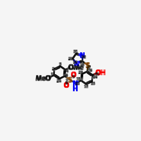 COc1ccc(OC)c(S(=O)(=O)Nc2ccc(O)c(SC3=NCC=N3)c2)c1